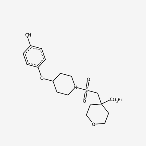 CCOC(=O)C1(CS(=O)(=O)N2CCC(Oc3ccc(C#N)cc3)CC2)CCOCC1